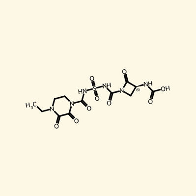 CCN1CCN(C(=O)NS(=O)(=O)NC(=O)N2C[C@H](NC(=O)O)C2=O)C(=O)C1=O